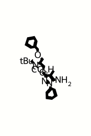 Cc1c(OCC(COCc2ccccc2)N(C(=O)O)C(C)(C)C)nn(-c2ccccc2)c1N